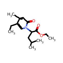 CCOC(=O)C(CC(C)C)n1cc(CC)c(C)cc1=O